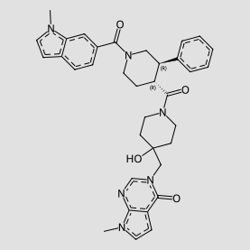 Cn1ccc2ccc(C(=O)N3CC[C@@H](C(=O)N4CCC(O)(Cn5cnc6c(ccn6C)c5=O)CC4)[C@H](c4ccccc4)C3)cc21